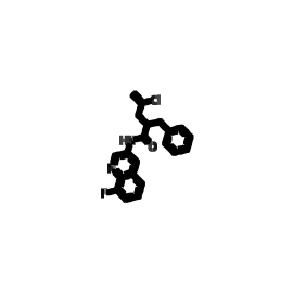 C=C(Cl)CC(Cc1ccccc1)C(=O)Nc1cnc2c(F)cccc2c1